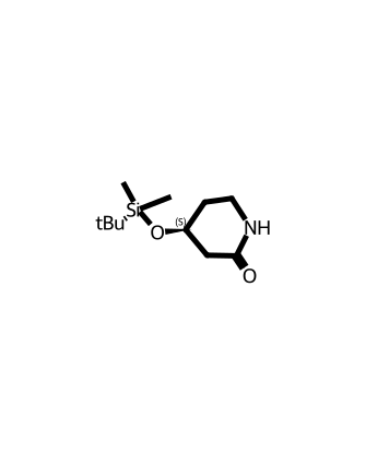 CC(C)(C)[Si](C)(C)O[C@H]1CCNC(=O)C1